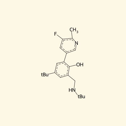 Cc1ncc(-c2cc(C(C)(C)C)cc(CNC(C)(C)C)c2O)cc1F